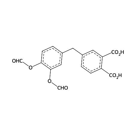 O=COc1ccc(Cc2ccc(C(=O)O)c(C(=O)O)c2)cc1OC=O